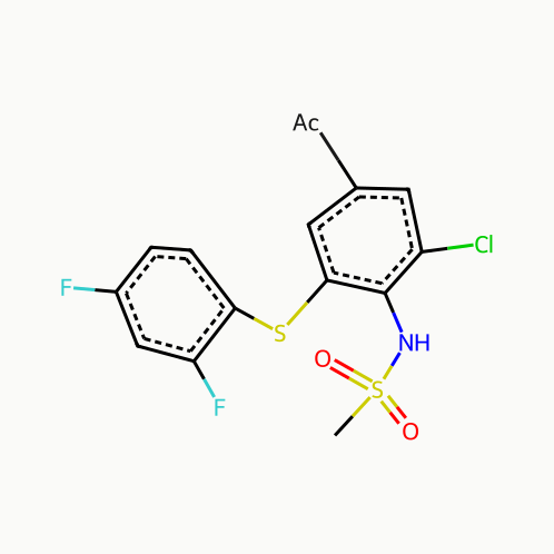 CC(=O)c1cc(Cl)c(NS(C)(=O)=O)c(Sc2ccc(F)cc2F)c1